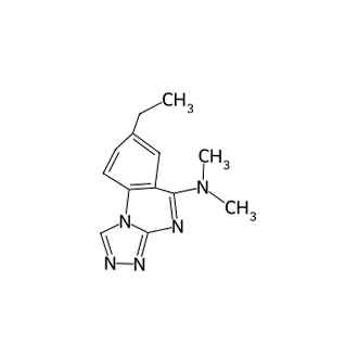 CCc1ccc2c(c1)c(N(C)C)nc1nncn12